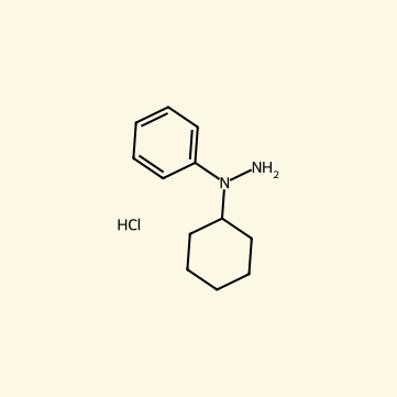 Cl.NN(c1ccccc1)C1CCCCC1